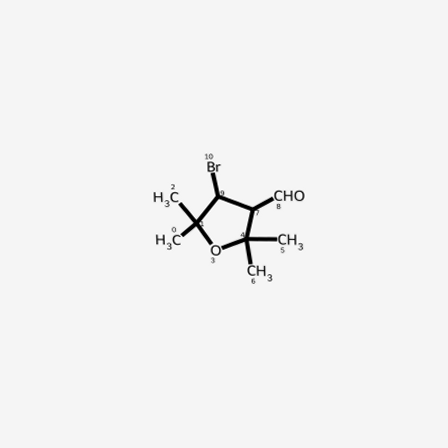 CC1(C)OC(C)(C)C(C=O)C1Br